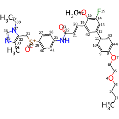 CCCCOCCOc1ccc(-c2cc(F)c(OC)c(/C=C/C(=O)Nc3ccc([S@@+]([O-])Cc4c(C)ncn4CC)cc3)c2)cc1